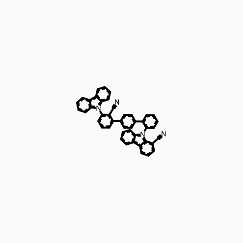 N#Cc1c(-c2ccc(-c3ccccc3-n3c4ccccc4c4cccc(C#N)c43)cc2)cccc1-n1c2ccccc2c2ccccc21